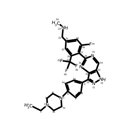 CCN1CCN(c2ccc(-c3n[nH]c4cnc(-c5c(F)cc(CNC)cc5C(F)(F)F)nc34)cc2)CC1